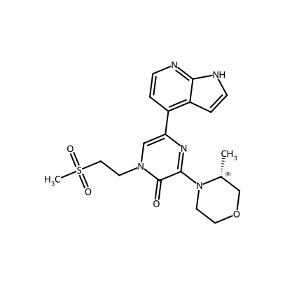 C[C@@H]1COCCN1c1nc(-c2ccnc3[nH]ccc23)cn(CCS(C)(=O)=O)c1=O